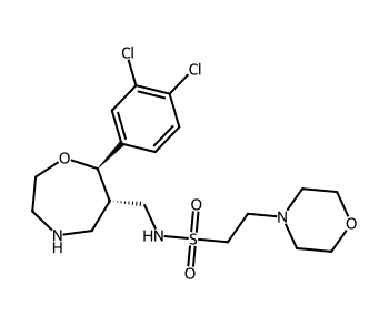 O=S(=O)(CCN1CCOCC1)NC[C@@H]1CNCCO[C@H]1c1ccc(Cl)c(Cl)c1